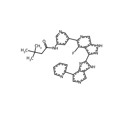 CC(C)(C)CC(=O)Nc1cncc(-c2ncc3[nH]nc(-c4nc5c(-c6ccccn6)cncc5[nH]4)c3c2F)c1